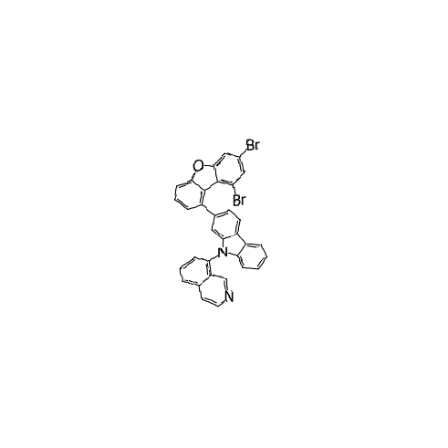 Brc1cc(Br)c2c(c1)oc1cccc(-c3ccc4c5ccccc5n(-c5cccc6ccncc56)c4c3)c12